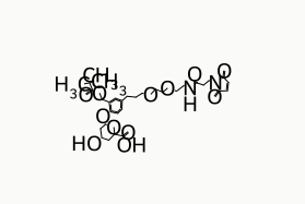 CC(C)(C)C(=O)OCc1cc(CCCOCCOCCNC(=O)CCN2C(=O)C=CC2=O)ccc1OC1CC(O)CC(C(=O)O)O1